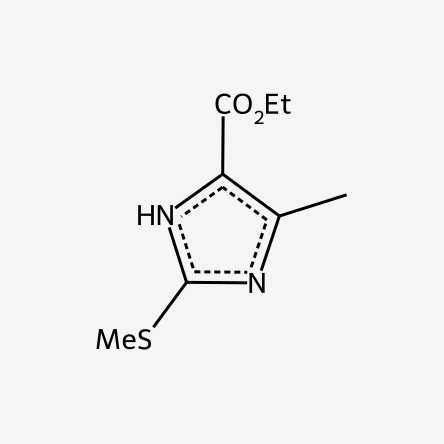 CCOC(=O)c1[nH]c(SC)nc1C